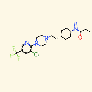 CCC(=O)N[C@H]1CC[C@H](CCN2CCN(c3ncc(C(F)(F)F)cc3Cl)CC2)CC1